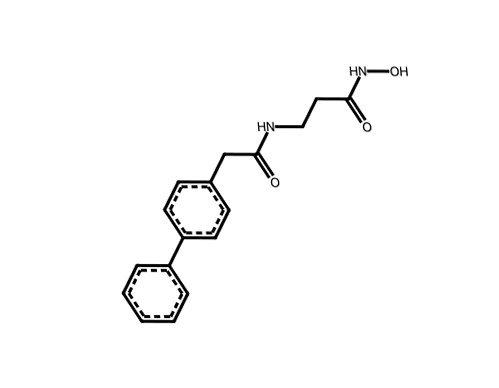 O=C(CCNC(=O)Cc1ccc(-c2ccccc2)cc1)NO